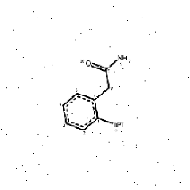 CCCc1ccccc1CC(N)=O